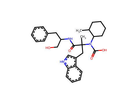 CC1CCCCC1N(C(=O)O)C(C)(Cc1c[nH]c2ccccc12)C(=O)NC(CO)Cc1ccccc1